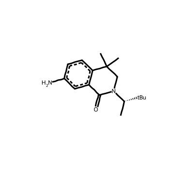 C[C@H](N1CC(C)(C)c2ccc(N)cc2C1=O)C(C)(C)C